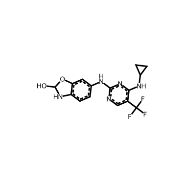 OC1Nc2ccc(Nc3ncc(C(F)(F)F)c(NC4CC4)n3)cc2O1